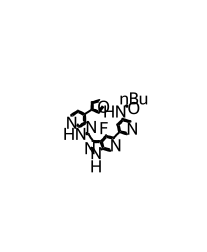 CCCCC(=O)Nc1cncc(-c2ncc3[nH]nc(-c4nc5c(-c6ccoc6)ccnc5[nH]4)c3c2F)c1